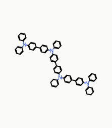 C1=CCCC(N(c2ccc(-c3ccc(N(C4=CCCC=C4)c4ccccc4)cc3)cc2)c2ccc(-c3ccc(N(c4ccccc4)c4ccc(-c5ccc(N(c6ccccc6)c6ccccc6)cc5)cc4)cc3)cc2)=C1